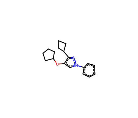 c1ccc(-n2cc(OC3CCCC3)c(C3CCC3)n2)cc1